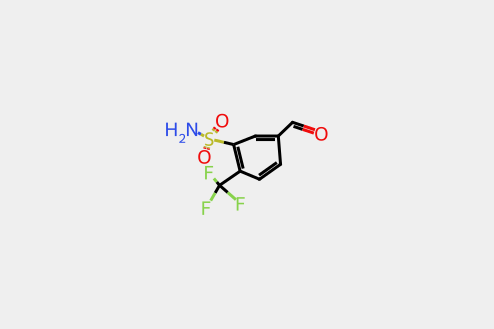 NS(=O)(=O)c1cc(C=O)ccc1C(F)(F)F